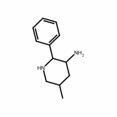 CC1CNC(c2ccccc2)C(N)C1